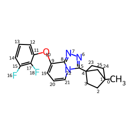 CC12CCC(c3nnc4c(Oc5cccc(F)c5F)cccn34)(CC1)C2